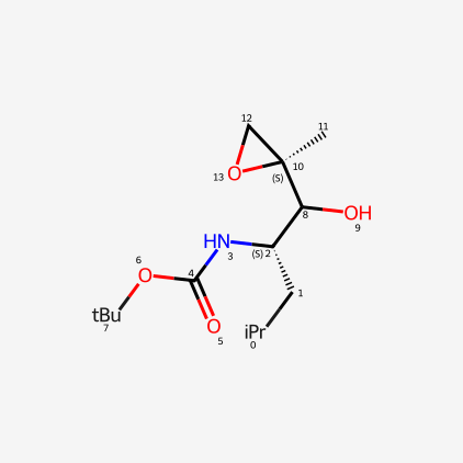 CC(C)C[C@H](NC(=O)OC(C)(C)C)C(O)[C@]1(C)CO1